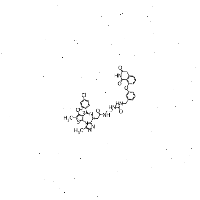 Cc1sc2c(c1C)C(c1ccc(Cl)cc1)=N[C@@H](CC(=O)NCCNC(=O)NCc1cccc(Oc3cccc4c3C(=O)NC(=O)C4)c1)c1nnc(C)n1-2